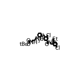 CCSc1ccc(Cl)cc1CNC(=O)c1cc(Cl)c(CN2CCC[C@H](NCCCNC(=O)OC(C)(C)C)C2)c(C(F)(F)F)c1